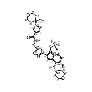 CC1(n2ccc(C(=O)NCc3nc(-c4cc5c(N[C@H]6CCOC[C@H]6F)cccc5n4CC(F)(F)F)no3)c2)CCOCC1